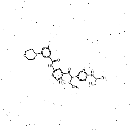 CON(C(=O)c1cc(NC(=O)c2cc(F)cc(N3CCOCC3)c2)cnc1C)c1ccc(NC(C)C)nc1